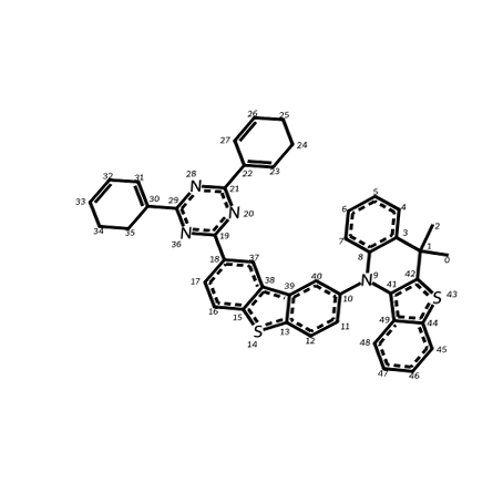 CC1(C)c2ccccc2N(c2ccc3sc4ccc(-c5nc(C6=CCCC=C6)nc(C6=CC=CCC6)n5)cc4c3c2)c2c1sc1ccccc21